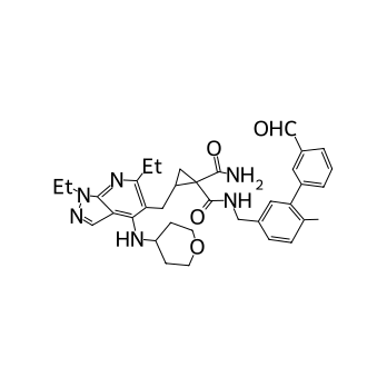 CCc1nc2c(cnn2CC)c(NC2CCOCC2)c1CC1CC1(C(N)=O)C(=O)NCc1ccc(C)c(-c2cccc(C=O)c2)c1